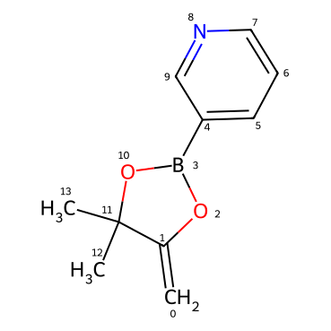 C=C1OB(c2cccnc2)OC1(C)C